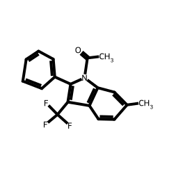 CC(=O)n1c(-c2ccccc2)c(C(F)(F)F)c2ccc(C)cc21